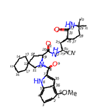 COc1cccc2[nH]c(C(=O)N3CC4(CCCCC4)CC3C(=O)N[C@H](C#N)CC3CCC(C)(C)NC3=O)cc12